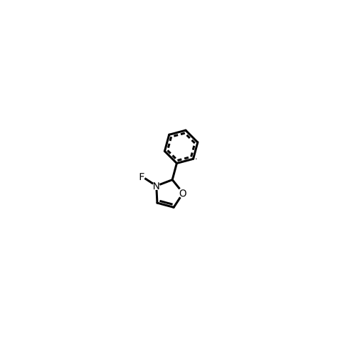 FN1C=COC1c1[c]cccc1